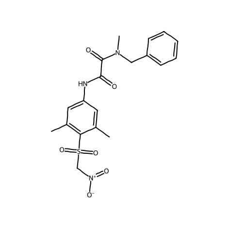 Cc1cc(NC(=O)C(=O)N(C)Cc2ccccc2)cc(C)c1S(=O)(=O)C[N+](=O)[O-]